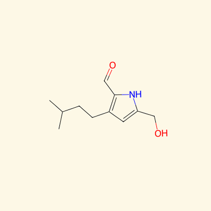 CC(C)CCc1cc(CO)[nH]c1C=O